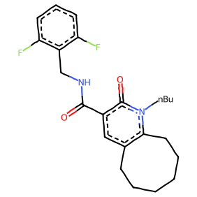 CCCCn1c2c(cc(C(=O)NCc3c(F)cccc3F)c1=O)CCCCCC2